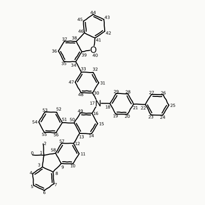 CC1(C)c2ccccc2-c2ccc(-c3ccc(N(c4ccc(-c5ccccc5)cc4)c4ccc(-c5cccc6c5oc5ccccc56)cc4)cc3-c3ccccc3)cc21